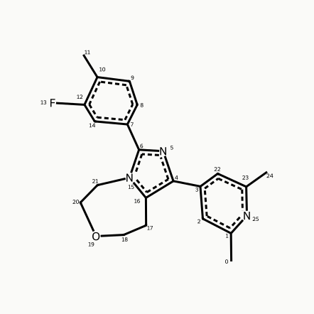 Cc1cc(-c2nc(-c3ccc(C)c(F)c3)n3c2CCOCC3)cc(C)n1